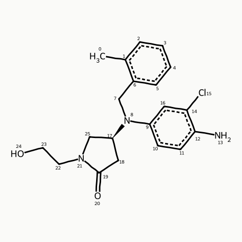 Cc1ccccc1CN(c1ccc(N)c(Cl)c1)[C@H]1CC(=O)N(CCO)C1